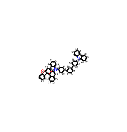 c1cc(-c2ccc(N(c3ccc4ccccc4c3)c3ccccc3-c3ccc4c(c3)oc3ccccc34)cc2)cc(-c2ccc(-n3c4ccccc4c4ccccc43)cc2)c1